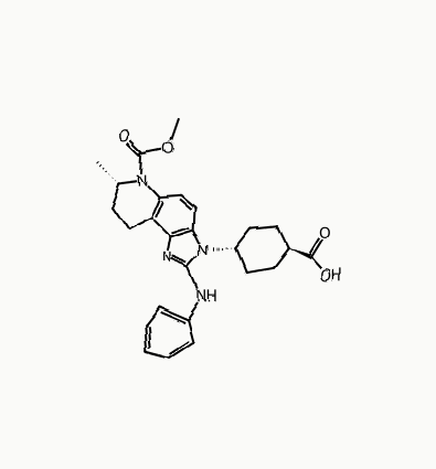 COC(=O)N1c2ccc3c(nc(Nc4ccccc4)n3[C@H]3CC[C@H](C(=O)O)CC3)c2CC[C@@H]1C